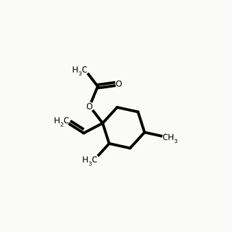 C=CC1(OC(C)=O)CCC(C)CC1C